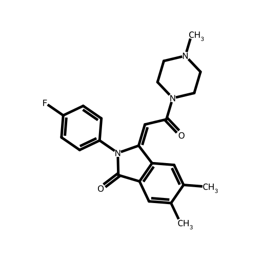 Cc1cc2c(cc1C)/C(=C\C(=O)N1CCN(C)CC1)N(c1ccc(F)cc1)C2=O